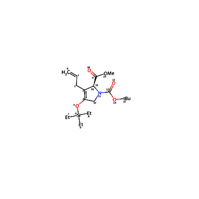 C=CCC1=C(O[Si](CC)(CC)CC)CN(C(=O)OC(C)(C)C)[C@@H]1C(=O)OC